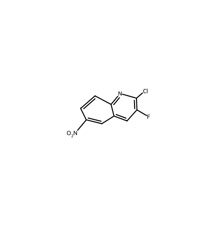 O=[N+]([O-])c1ccc2nc(Cl)c(F)cc2c1